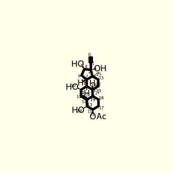 C#C[C@]1(O)[C@H](O)C[C@H]2[C@@H]3[C@@H](O)C=C4[C@@H](O)[C@H](OC(C)=O)CC[C@]4(C)[C@H]3CC[C@@]21C